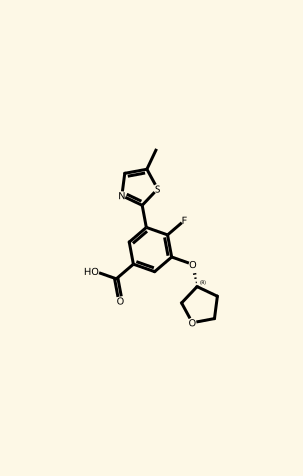 Cc1cnc(-c2cc(C(=O)O)cc(O[C@@H]3CCOC3)c2F)s1